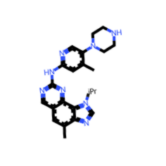 Cc1cc(Nc2ncc3cc(C)c4ncn(C(C)C)c4c3n2)ncc1N1CCNCC1